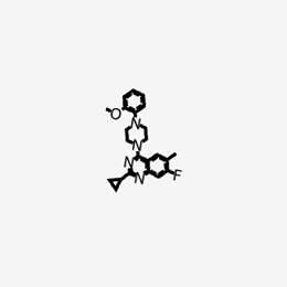 COc1ccccc1N1CCN(c2nc(C3CC3)nc3cc(F)c(C)cc23)CC1